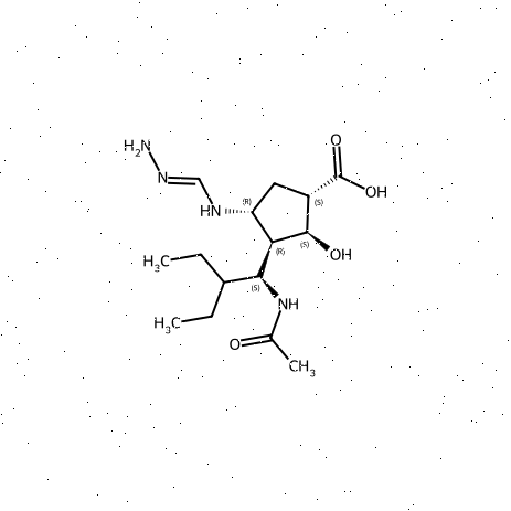 CCC(CC)[C@H](NC(C)=O)[C@@H]1[C@H](O)[C@@H](C(=O)O)C[C@H]1NC=NN